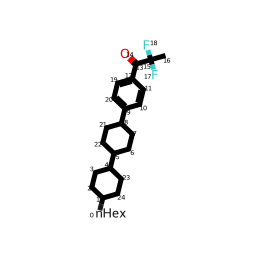 CCCCCCC1CCC(C2CCC(c3ccc(C(=O)C(C)(F)F)cc3)CC2)CC1